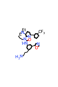 CCN1CCC[C@@H](C)N(C(=O)Nc2cc(CCCN)cc(-c3cnco3)c2)c2nc(-c3cccc(C(F)(F)F)c3)ccc21